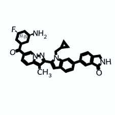 Cc1c(-c2cc3ccc(-c4ccc5c(c4)C(=O)NC5)cc3n2CC2CC2)nn2cc(C(=O)C3C[C@H](N)C[C@@H](F)C3)ccc12